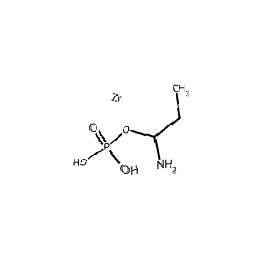 CCC(N)OP(=O)(O)O.[Zr]